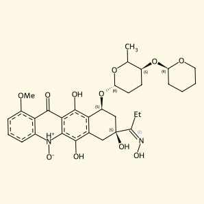 CC/C(=N/O)[C@]1(O)Cc2c(O)c3c(c(O)c2[C@@H](O[C@H]2CC[C@H](O[C@@H]4CCCCO4)C(C)O2)C1)C(=O)c1c(OC)cccc1[NH+]3[O-]